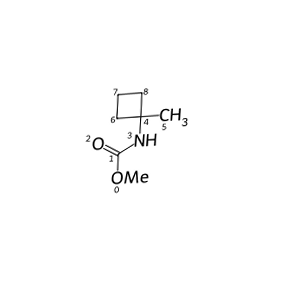 COC(=O)NC1(C)CCC1